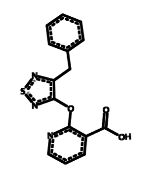 O=C(O)c1cccnc1Oc1nsnc1Cc1ccccc1